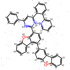 c1ccc(-c2cc(-c3ccccc3-c3ccccn3)nc(-c3ccc(-c4ccc5oc6ccccc6c5c4)c4c3oc3ccccc34)n2)cc1